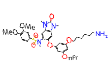 CCCOc1cc(OCCCCCCN)cc(Oc2cc3c(cc2N(C)S(=O)(=O)c2ccc(OC)c(OC)c2)n(C)c(=O)n3C)c1